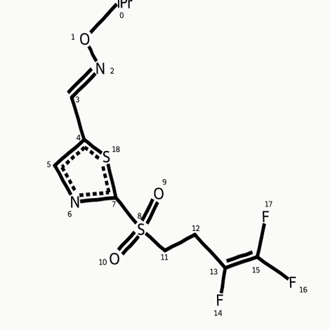 CC(C)ON=Cc1cnc(S(=O)(=O)CCC(F)=C(F)F)s1